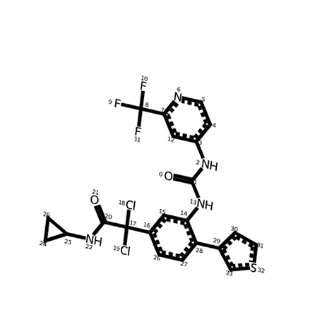 O=C(Nc1ccnc(C(F)(F)F)c1)Nc1cc(C(Cl)(Cl)C(=O)NC2CC2)ccc1-c1ccsc1